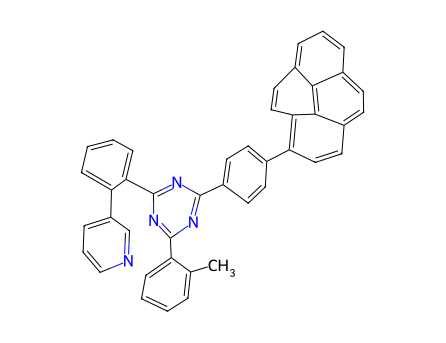 Cc1ccccc1-c1nc(-c2ccc(-c3ccc4ccc5cccc6ccc3c4c56)cc2)nc(-c2ccccc2-c2cccnc2)n1